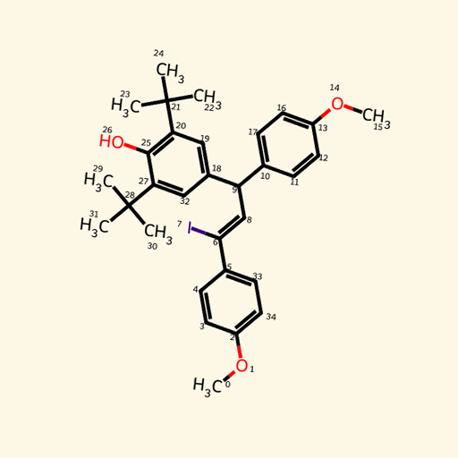 COc1ccc(C(I)=CC(c2ccc(OC)cc2)c2cc(C(C)(C)C)c(O)c(C(C)(C)C)c2)cc1